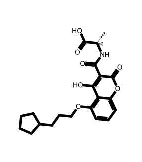 C[C@H](NC(=O)c1c(O)c2c(OCCCC3CCCC3)cccc2oc1=O)C(=O)O